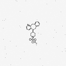 CS(=O)(=O)N1CCC(=C2Cc3ccccc3Cc3ncccc32)CC1